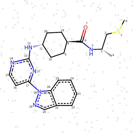 CSC[C@H](C)NC(=O)[C@H]1CC[C@H](Nc2nccc(-n3ncc4ccccc43)n2)CC1